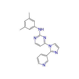 Cc1cc(C)cc(Nc2nccc(-n3ccnc3-c3cccnc3)n2)c1